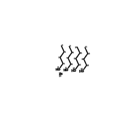 CCCCO.CCCCO.CCCCO.CCCCO.[Zn]